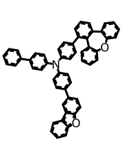 c1ccc(-c2ccc(N(c3ccc(-c4ccc5oc6ccccc6c5c4)cc3)c3ccc(-c4cccc5c4-c4ccccc4Oc4ccccc4-5)cc3)cc2)cc1